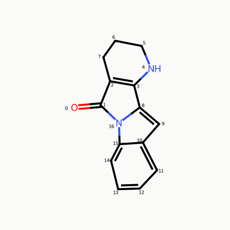 O=C1C2=C(NCCC2)c2cc3ccccc3n21